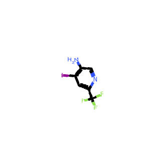 Nc1cnc(C(F)(F)F)cc1I